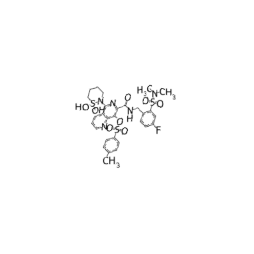 Cc1ccc(S(=O)(=O)Oc2c(C(=O)NCc3ccc(F)cc3S(=O)(=O)N(C)C)nc(N3CCCCS3(O)O)c3cccnc23)cc1